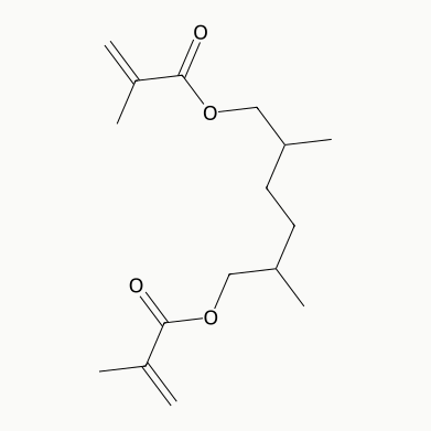 C=C(C)C(=O)OCC(C)CCC(C)COC(=O)C(=C)C